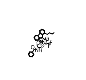 CCCCc1cccc2c1C(C(=O)N(CC(F)(F)F)P1(=O)OCC(NC(=O)c3ccccc3)CO1)c1ccccc1-2